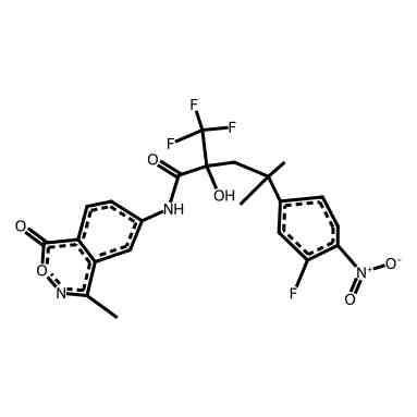 Cc1noc(=O)c2ccc(NC(=O)C(O)(CC(C)(C)c3ccc([N+](=O)[O-])c(F)c3)C(F)(F)F)cc12